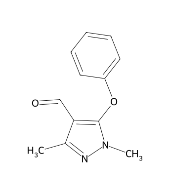 Cc1nn(C)c(Oc2ccccc2)c1C=O